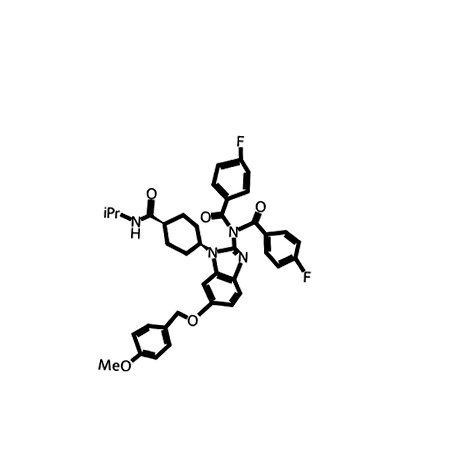 COc1ccc(COc2ccc3nc(N(C(=O)c4ccc(F)cc4)C(=O)c4ccc(F)cc4)n([C@H]4CC[C@@H](C(=O)NC(C)C)CC4)c3c2)cc1